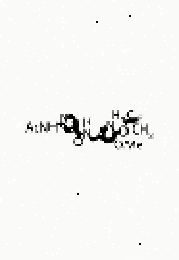 COc1cc(CNC(=O)c2ccnc(NC(C)=O)c2)cnc1OCC(C)(C)F